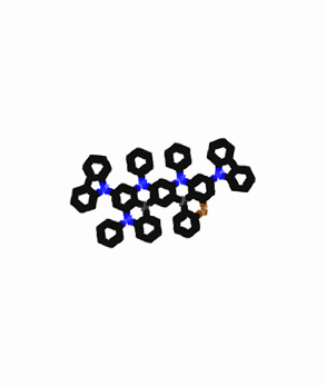 c1ccc(N2c3cc4c(cc3B3c5ccccc5Sc5cc(-n6c7ccccc7c7ccccc76)cc2c53)B2c3ccccc3N(c3ccccc3)c3cc(-n5c6ccccc6c6ccccc65)cc(c32)N4c2ccccc2)cc1